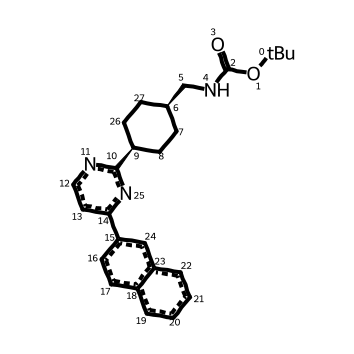 CC(C)(C)OC(=O)NC[C@H]1CC[C@@H](c2nccc(-c3ccc4ccccc4c3)n2)CC1